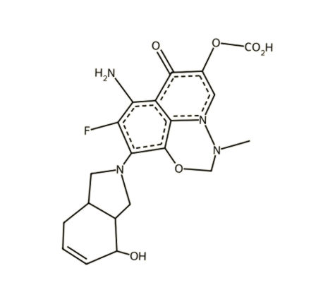 CN1COc2c(N3CC4CC=CC(O)C4C3)c(F)c(N)c3c(=O)c(OC(=O)O)cn1c23